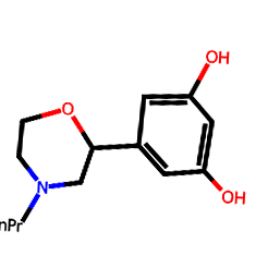 CCCN1CCOC(c2cc(O)cc(O)c2)C1